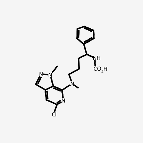 CN(CCCC(NC(=O)O)c1ccccc1)c1nc(Cl)cc2cnn(C)c12